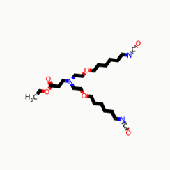 CCOC(=O)CCN(CCOCCCCCCN=C=O)CCOCCCCCCN=C=O